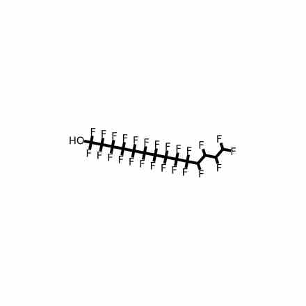 OC(F)(F)C(F)(F)C(F)(F)C(F)(F)C(F)(F)C(F)(F)C(F)(F)C(F)(F)C(F)(F)C(F)(F)C(F)C(F)C(F)C(F)F